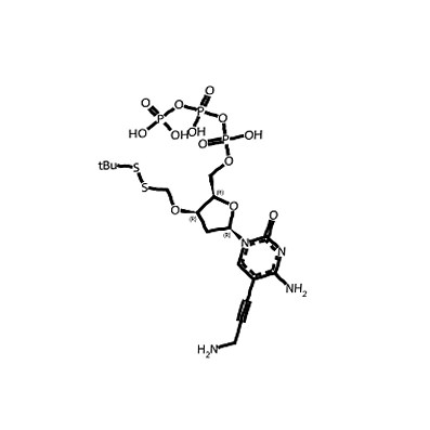 CC(C)(C)SSCO[C@@H]1C[C@H](n2cc(C#CCN)c(N)nc2=O)O[C@@H]1COP(=O)(O)OP(=O)(O)OP(=O)(O)O